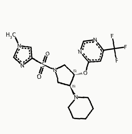 Cn1cnc(S(=O)(=O)N2C[C@H](Oc3cc(C(F)(F)F)ncn3)[C@@H](N3CCCCC3)C2)c1